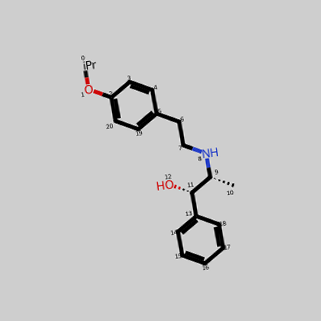 CC(C)Oc1ccc(CCN[C@H](C)[C@@H](O)c2ccccc2)cc1